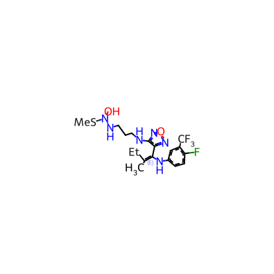 CC/C(C)=C(/Nc1ccc(F)c(C(F)(F)F)c1)c1nonc1NCCCNN(O)SC